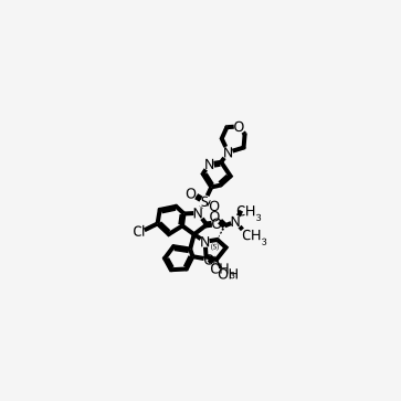 COc1ccccc1C1(N2C[C@H](O)C[C@H]2C(=O)N(C)C)C(=O)N(S(=O)(=O)c2ccc(N3CCOCC3)nc2)c2ccc(Cl)cc21